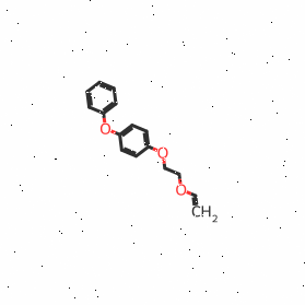 C=COCCOc1ccc(Oc2ccccc2)cc1